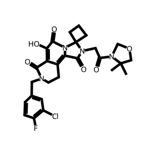 CC1(C)COCN1C(=O)CN1C(=O)c2c3c(c(O)c(=O)n2C12CCC2)C(=O)N(Cc1ccc(F)c(Cl)c1)CC3